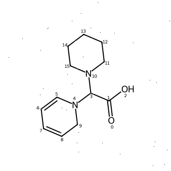 O=C(O)C(N1C=CC=CC1)N1CCCCC1